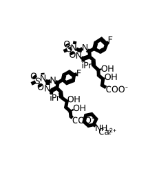 CC(C)c1nc(N(C)S(C)(=O)=O)nc(-c2ccc(F)cc2)c1C=C[C@@H](O)C[C@@H](O)CC(=O)[O-].CC(C)c1nc(N(C)S(C)(=O)=O)nc(-c2ccc(F)cc2)c1C=C[C@@H](O)C[C@@H](O)CC(=O)[O-].NC1CCCCC1.[Ca+2]